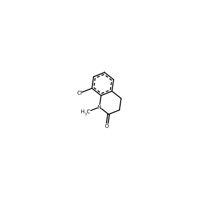 CN1C(=O)CCc2c[c]cc(Cl)c21